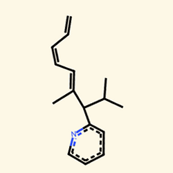 C=C/C=C\C=C(/C)C(c1ccccn1)C(C)C